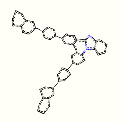 c1ccc2cc(-c3ccc(-c4ccc5c(c4)c4cc(-c6ccc(-c7ccc8ccccc8c7)cc6)ccc4n4c6ccccc6nc54)cc3)ccc2c1